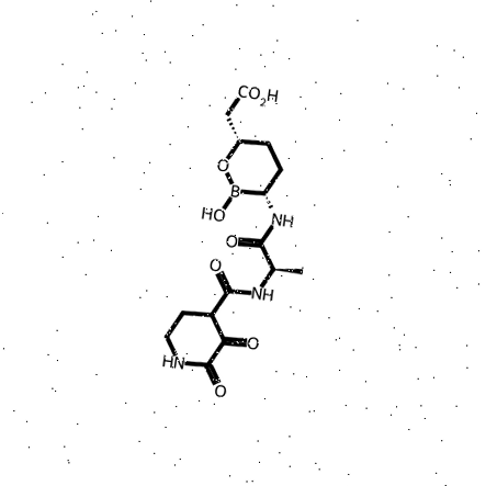 C[C@@H](NC(=O)C1CCNC(=O)C1=O)C(=O)N[C@H]1CC[C@@H](CC(=O)O)OB1O